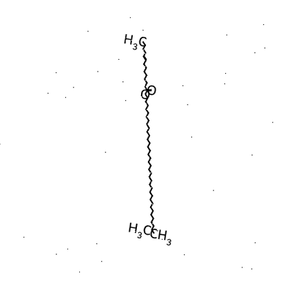 CCCCC=CCCCCCCCC(=O)OCCCCCCCCCCCCCCCCCCCCCCCCCCCCCCCCCCCC(C)C